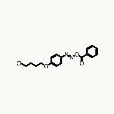 O=C(ON=Nc1ccc(OCCCCCl)cc1)c1ccccc1